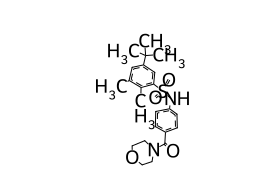 Cc1cc(C(C)(C)C)cc(S(=O)(=O)Nc2ccc(C(=O)N3CCOCC3)cc2)c1C